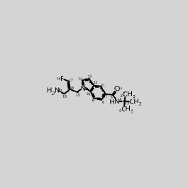 CC(C)(C)NC(=O)c1ccc2c(ccn2CC(=CF)CN)c1